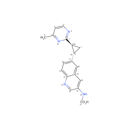 Cc1ccnc([C@H]2C[C@@H]2c2ccc3ncc(NC(=O)O)cc3c2)n1